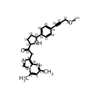 Cc1cc(C)n2cnc(CC(=O)C3CCC(c4ccc(C#CCOI)cc4)N3)c2n1